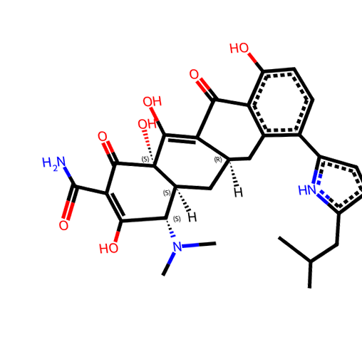 CC(C)Cc1ccc(-c2ccc(O)c3c2C[C@H]2C[C@H]4[C@H](N(C)C)C(O)=C(C(N)=O)C(=O)[C@@]4(O)C(O)=C2C3=O)[nH]1